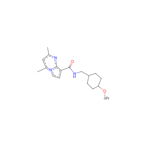 CCCOC1CCC(CNC(=O)c2ccn3c(C)cc(C)nc23)CC1